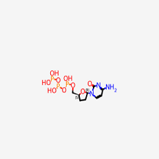 Nc1ccn([C@H]2CC[C@@H](COP(O)OP(O)OP(O)O)O2)c(=O)n1